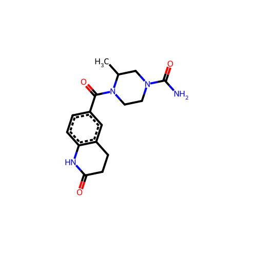 CC1CN(C(N)=O)CCN1C(=O)c1ccc2c(c1)CCC(=O)N2